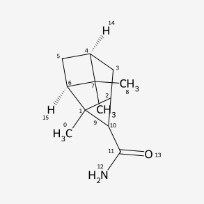 CC12C(C[C@@H]3C[C@H]1C3(C)C)C2C(N)=O